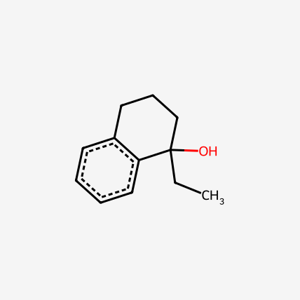 CCC1(O)CCCc2ccccc21